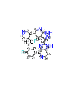 Cc1ccncc1-c1cnc2[nH]nc(-c3nc4c(-c5ccc(F)cc5)nccc4[nH]3)c2c1F